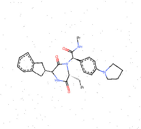 CC(C)C[C@@H]1C(=O)NC(C2Cc3ccccc3C2)C(=O)N1[C@@H](C(=O)NC(C)C)c1ccc(N2CCCC2)cc1